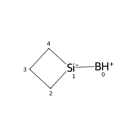 [BH+][Si-]1CCC1